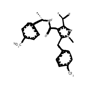 C[C@H](NC(=O)c1c(C(F)F)nn(C)c1Cc1ccc(C(F)(F)F)cc1)c1ccc(C(=O)O)cc1